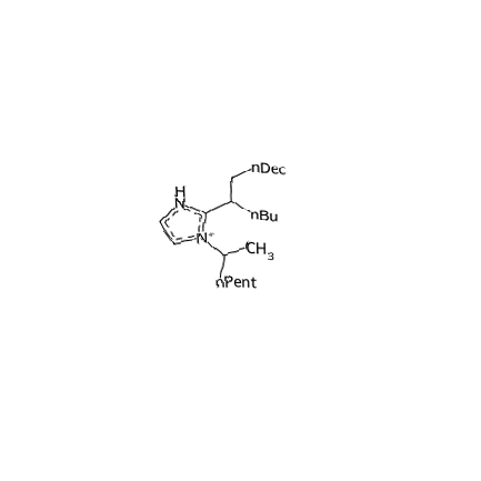 CCCCCCCCCCCC(CCCC)c1[nH]cc[n+]1C(C)CCCCC